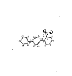 CC1([N+](=O)[O-])CC=CC=C1c1ccc(-c2ccccc2)cc1